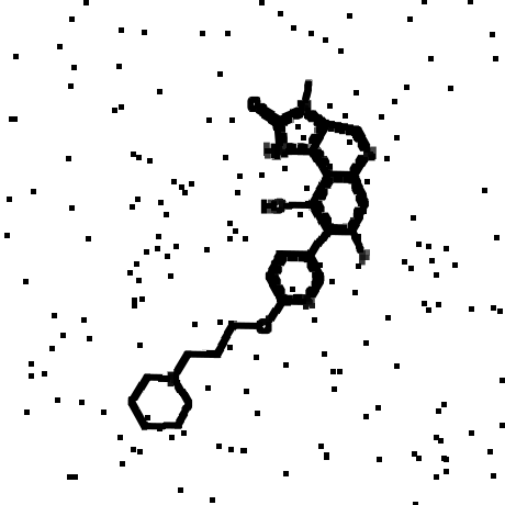 Cn1c(=O)[nH]c2c3c(O)c(-c4ccc(OCCCN5CCCCC5)nc4)c(F)cc3ncc21